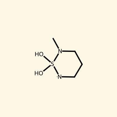 CN1CCC[N]S1(O)O